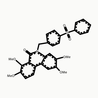 COc1cc2c3ccc(OC)c(OC)c3c(=O)n(Cc3ccc(S(=O)(=O)c4ccccc4)cc3)c2cc1OC